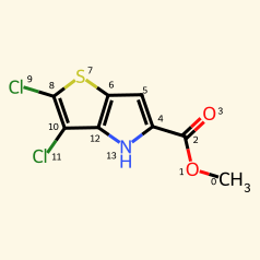 COC(=O)c1cc2sc(Cl)c(Cl)c2[nH]1